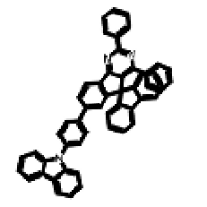 c1ccc(-c2nc(-c3ccccc3)c3c(n2)-c2ccc(-c4ccc(-n5c6ccccc6c6ccccc65)cc4)cc2C32c3ccccc3-c3ccccc32)cc1